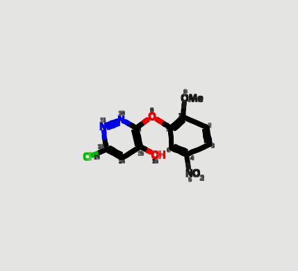 COc1ccc([N+](=O)[O-])cc1Oc1nnc(Cl)cc1O